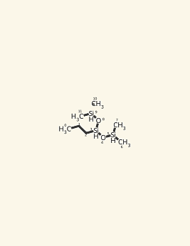 CCC[SiH](O[SiH](C)C)O[SiH](C)C